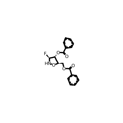 O=C(OC[C@H]1ON[C@@H](F)[C@@H]1OC(=O)c1ccccc1)c1ccccc1